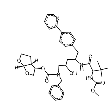 COC(=O)NC(C(=O)NC(Cc1ccc(-c2ccccn2)cc1)CC(O)CN(Cc1ccccc1)C(=O)O[C@H]1CO[C@@H]2OCC[C@@H]21)C(C)(C)C